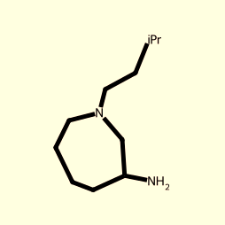 CC(C)CCN1CCCCC(N)C1